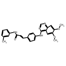 COc1cc2ncnc(Nc3ccc(C=CC(=O)Nc4cccc(C)c4)cc3)c2cc1OC